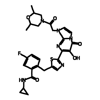 CC1CN(C(=O)Cn2ccn3c(=O)c(O)c(-c4ncc(Cc5ccc(F)cc5C(=O)NC5CC5)s4)nc23)CC(C)O1